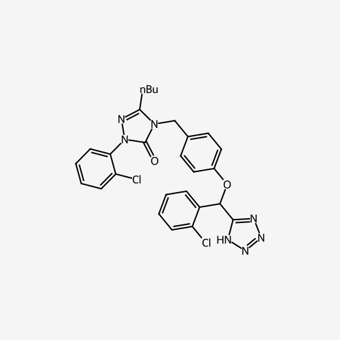 CCCCc1nn(-c2ccccc2Cl)c(=O)n1Cc1ccc(OC(c2nnn[nH]2)c2ccccc2Cl)cc1